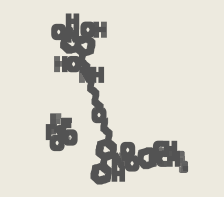 C[N+]1(C)CCC(OC(=O)Nc2cc(CCCOCCCCCNC[C@H](O)c3ccc(O)c4[nH]c(=O)ccc34)ccc2-c2ccccc2)CC1.O=C([O-])C(F)(F)F